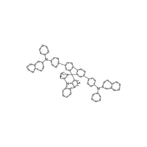 c1ccc(N(c2ccc(-c3ccc4c(c3)C3(c5cc(-c6ccc(N(c7ccccc7)c7ccc8ccccc8c7)cc6)ccc5-4)c4ccccc4-n4c5ccccc5c5cccc3c54)cc2)c2ccc3ccccc3c2)cc1